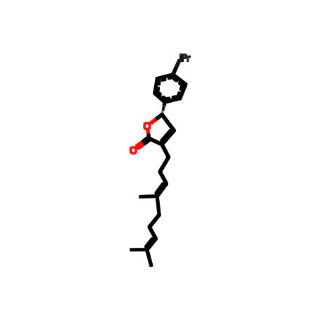 CC(C)=CCC/C(C)=C/CCC1=C[C@@H](c2ccc(C(C)C)cc2)OC1=O